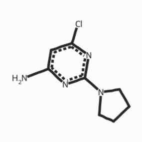 Nc1cc(Cl)nc(N2CCCC2)n1